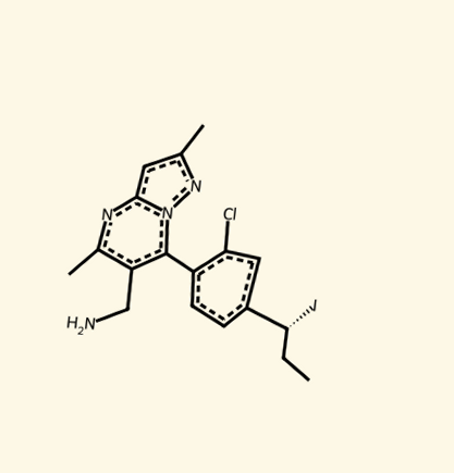 CC[C@@H](I)c1ccc(-c2c(CN)c(C)nc3cc(C)nn23)c(Cl)c1